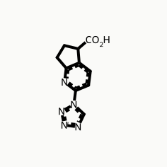 O=C(O)C1CCc2nc(-n3cnnn3)ccc21